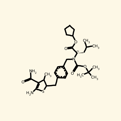 CC(C)C[C@@H](C(=O)OC1CCCC1)N(Cc1ccc(CC2SC(N)=C(C(N)=O)C2C)cc1)C(=O)OC(C)(C)C